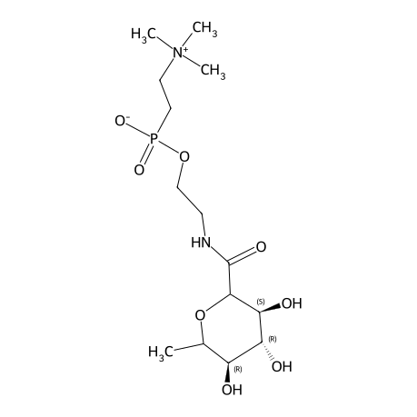 CC1OC(C(=O)NCCOP(=O)([O-])CC[N+](C)(C)C)[C@@H](O)[C@H](O)[C@H]1O